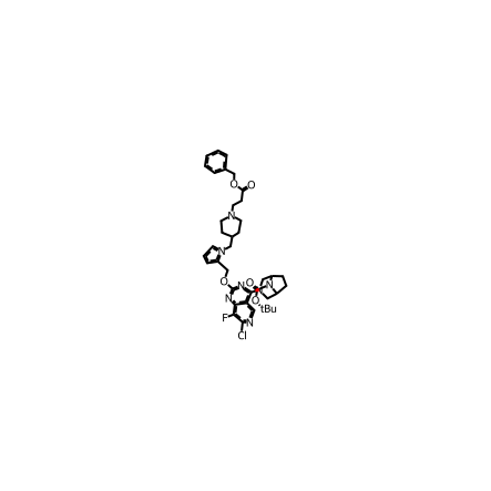 CC(C)(C)OC(=O)N1C2CCC1CN(c1nc(OCc3cccn3CC3CCN(CCC(=O)OCc4ccccc4)CC3)nc3c(F)c(Cl)ncc13)C2